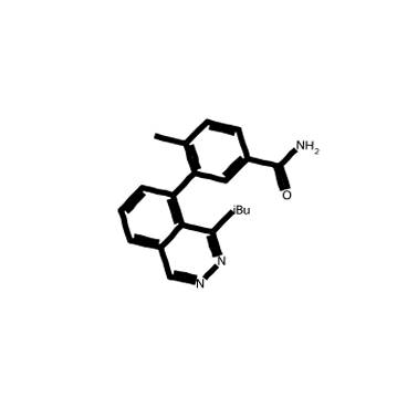 CCC(C)c1nncc2cccc(-c3cc(C(N)=O)ccc3C)c12